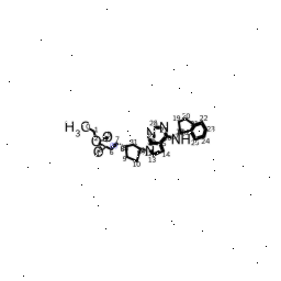 CCOS(=O)(=O)/C=C/[C@H]1CC[C@H](n2ccc3c(N[C@H]4CCc5ccccc54)ncnc32)C1